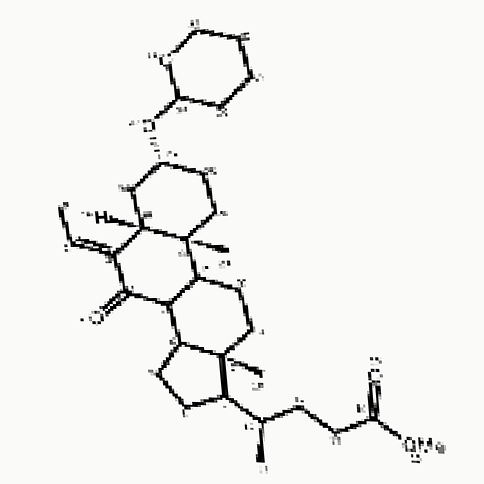 C/C=C1/C(=O)C2C3CCC([C@H](C)CCC(=O)OC)[C@@]3(C)CCC2[C@@]2(C)CC[C@@H](OC3CCCCO3)C[C@@H]12